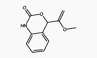 C=C(OC)C1OC(=O)Nc2ccccc21